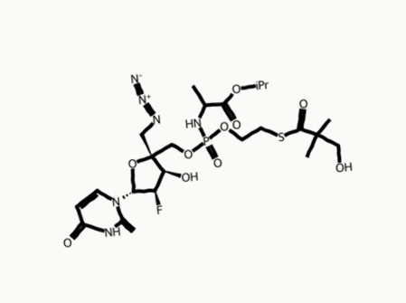 C=C1NC(=O)C=CN1[C@@H]1O[C@](CN=[N+]=[N-])(COP(=O)(NC(C)C(=O)OC(C)C)OCCSC(=O)C(C)(C)CO)[C@@H](O)[C@H]1F